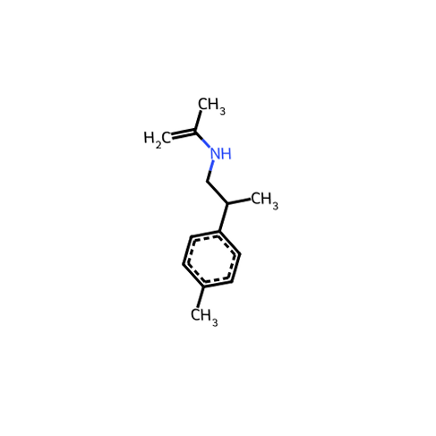 C=C(C)NCC(C)c1ccc(C)cc1